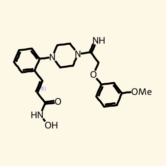 COc1cccc(OCC(=N)N2CCN(c3ccccc3/C=C/C(=O)NO)CC2)c1